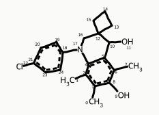 Cc1c(C)c2c(c(C)c1O)C(O)C1(CCC1)CN2c1ccc(Cl)cc1